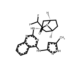 Cc1cc(Nc2nc(N[C@@H]3C[C@H]4CC[C@@H](C3)N4C(=O)C(F)F)nc3ccccc23)n[nH]1